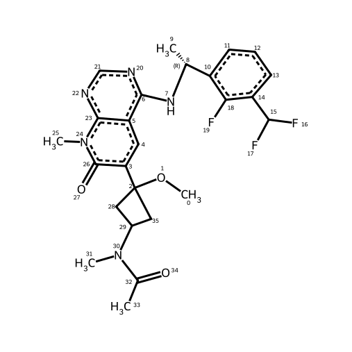 COC1(c2cc3c(N[C@H](C)c4cccc(C(F)F)c4F)ncnc3n(C)c2=O)CC(N(C)C(C)=O)C1